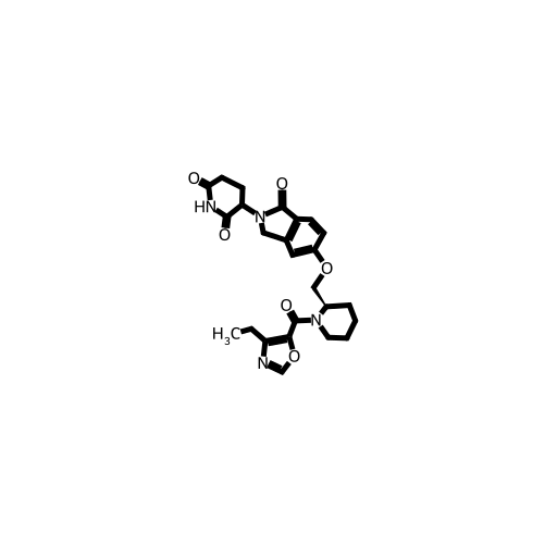 CCc1ncoc1C(=O)N1CCCC[C@@H]1COc1ccc2c(c1)CN(C1CCC(=O)NC1=O)C2=O